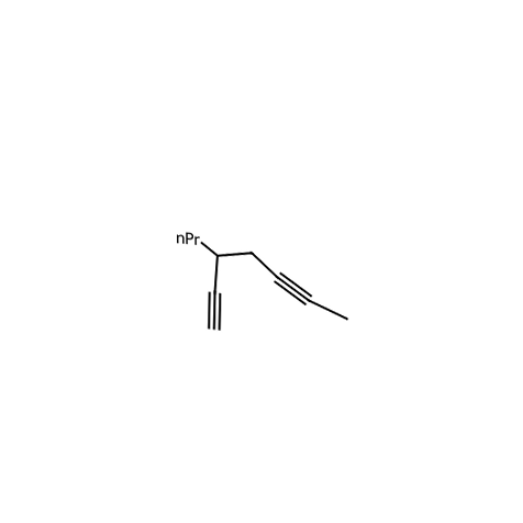 C#CC(CC#CC)CCC